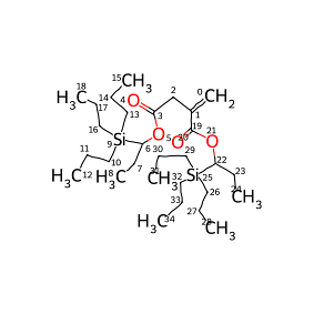 C=C(CC(=O)OC(CC)[Si](CCC)(CCC)CCC)C(=O)OC(CC)[Si](CCC)(CCC)CCC